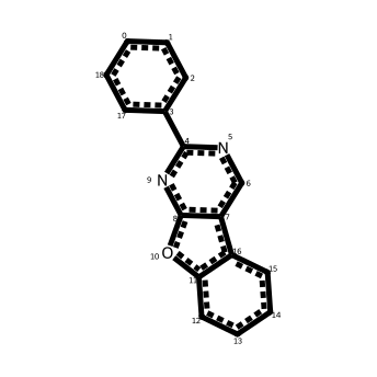 c1ccc(-c2ncc3c(n2)oc2ccccc23)cc1